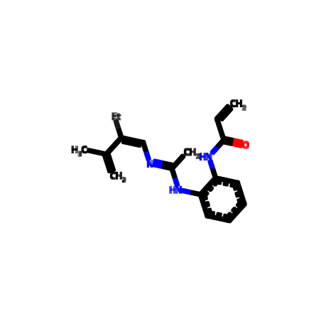 C=CC(=O)Nc1ccccc1N/C(C)=N/C=C(/CC)C(=C)C